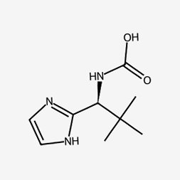 CC(C)(C)[C@H](NC(=O)O)c1ncc[nH]1